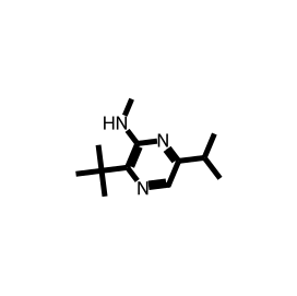 CNc1nc(C(C)C)cnc1C(C)(C)C